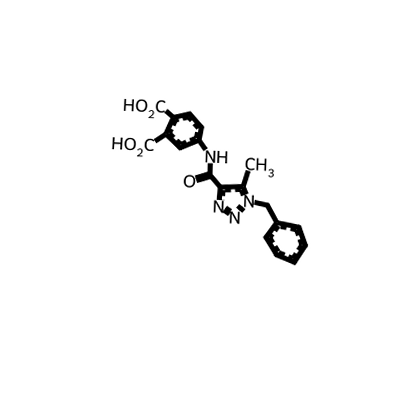 Cc1c(C(=O)Nc2ccc(C(=O)O)c(C(=O)O)c2)nnn1Cc1ccccc1